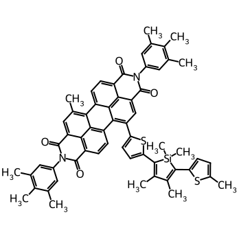 CC1=C(c2ccc(C)s2)[Si](C)(C)C(c2ccc(-c3cc4c5c(ccc6c7c(C)cc8c9c(ccc(c3c56)c97)C(=O)N(c3cc(C)c(C)c(C)c3)C8=O)C(=O)N(c3cc(C)c(C)c(C)c3)C4=O)s2)=C1C